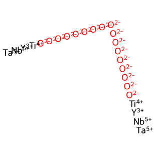 [Nb+5].[Nb+5].[O-2].[O-2].[O-2].[O-2].[O-2].[O-2].[O-2].[O-2].[O-2].[O-2].[O-2].[O-2].[O-2].[O-2].[O-2].[O-2].[O-2].[Ta+5].[Ta+5].[Ti+4].[Ti+4].[Y+3].[Y+3]